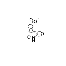 CCOC(=O)c1ccc2cc3n(c2c1)CC1(CCOCC1)CNC3=O